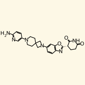 Nc1ccc(N2CCC3(CC2)CN(c2ccc4nc([C@H]5CCC(=O)NC5=O)oc4c2)C3)cn1